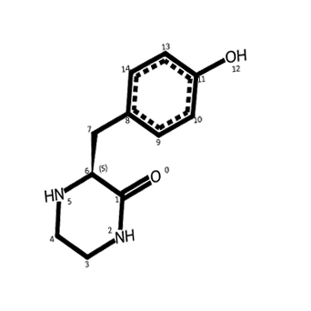 O=C1NCCN[C@H]1Cc1ccc(O)cc1